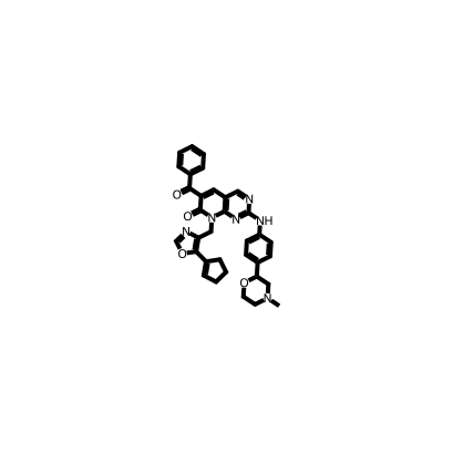 CN1CCOC(c2ccc(Nc3ncc4cc(C(=O)c5ccccc5)c(=O)n(Cc5ncoc5C5=CCCC5)c4n3)cc2)C1